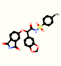 CC(C)(C)c1ccc(S(=O)(=O)NC(=O)C(Oc2ccc3c(c2)C(=O)NC3=O)c2ccc3c(c2)OCO3)cc1